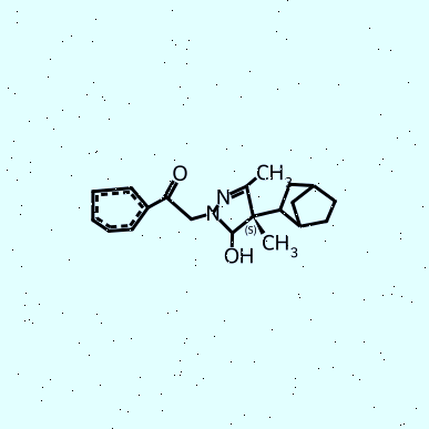 CC1=NN(CC(=O)c2ccccc2)C(O)[C@@]1(C)C1CC2CCC1C2